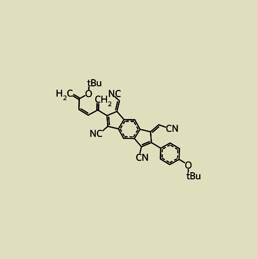 C=C(/C=C\C(=C)C1=C(C#N)c2cc3c(cc2/C1=C/C#N)/C(=C/C#N)C(c1ccc(OC(C)(C)C)cc1)=C3C#N)OC(C)(C)C